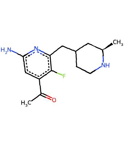 CC(=O)c1cc(N)nc(CC2CCN[C@H](C)C2)c1F